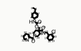 CCc1ccc(NC(=O)OCC2(C(=O)NCc3ccccc3Cl)CCN(C(=O)c3ccccn3)CC2)cc1